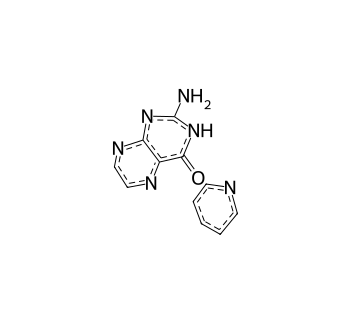 Nc1nc2nccnc2c(=O)[nH]1.c1ccncc1